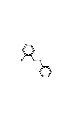 Fc1cnccc1COc1cc[c]cc1